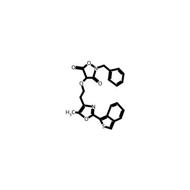 Cc1oc(-c2scc3ccccc23)nc1CCOC1C(=O)ON(Cc2ccccc2)C1=O